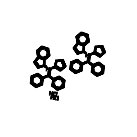 C1=CC[C]([Hf](=[C](c2ccccc2)c2ccccc2)[CH]2C=Cc3ccccc32)=C1.C1=CC[C]([Hf](=[C](c2ccccc2)c2ccccc2)[CH]2C=Cc3ccccc32)=C1.Cl.Cl